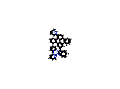 c1ccc(-c2ccc(-c3ccccc3-c3cc(-c4ccccc4-c4ccc(-c5ccccn5)cc4)cc(-c4[nH]nc5ccccc45)c3)cc2)nc1